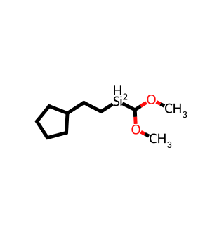 COC(OC)[SiH2]CCC1CCCC1